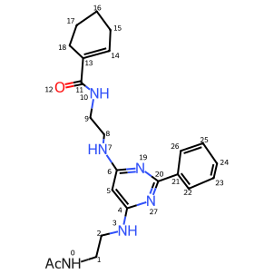 CC(=O)NCCNc1cc(NCCNC(=O)C2=CCCCC2)nc(-c2ccccc2)n1